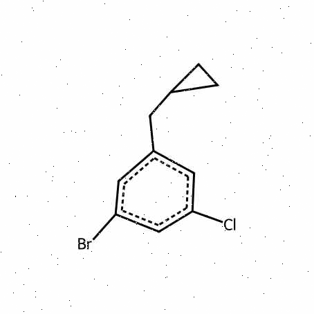 Clc1cc(Br)cc(CC2CC2)c1